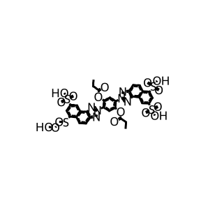 CCC(=O)Oc1cc(-n2nc3ccc4c(S(=O)(=O)O)cc(S(=O)(=O)O)cc4c3n2)c(OC(=O)CC)cc1-n1nc2ccc3c(SOOO)cc(S(=O)(=O)O)cc3c2n1